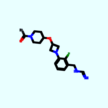 CCC(=O)N1CCC(OC2CN(c3cccc(CN[C]=N)c3F)C2)CC1